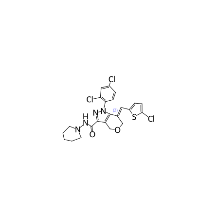 O=C(NN1CCCCC1)c1nn(-c2ccc(Cl)cc2Cl)c2c1COC/C2=C\c1ccc(Cl)s1